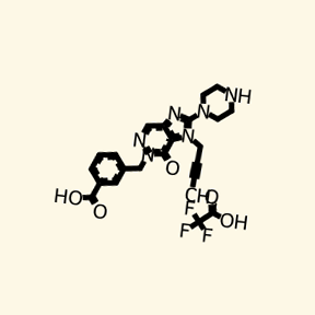 CC#CCn1c(N2CCNCC2)nc2cnn(Cc3cccc(C(=O)O)c3)c(=O)c21.O=C(O)C(F)(F)F